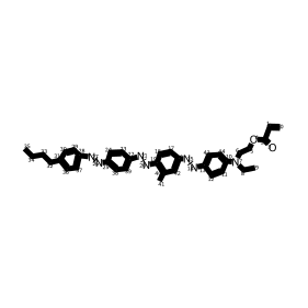 C=CC(=O)OCCN(CC)c1ccc(N=Nc2ccc(N=Nc3ccc(N=Nc4ccc(CCCC)cc4)cc3)c(C)c2)cc1